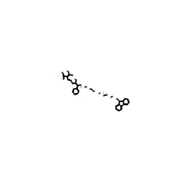 CC[C@@]1(O)C(=O)OCc2c1cc1n(c2=O)Cc2c-1nc1cc(F)c(C)cc1c2CNC(=O)NCCOCNC(=O)CNC(=O)OCC1c2ccccc2-c2ccccc21